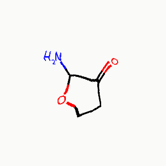 NC1OCCC1=O